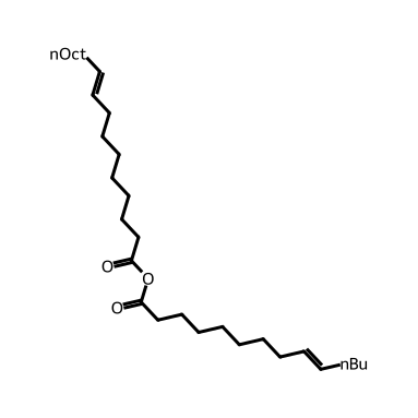 CCCCC=CCCCCCCCC(=O)OC(=O)CCCCCCCC=CCCCCCCCC